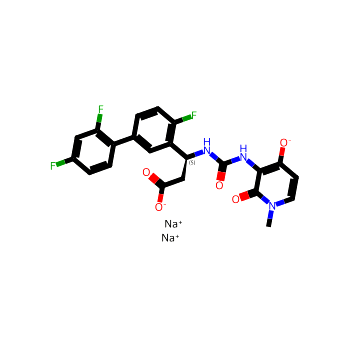 Cn1ccc([O-])c(NC(=O)N[C@@H](CC(=O)[O-])c2cc(-c3ccc(F)cc3F)ccc2F)c1=O.[Na+].[Na+]